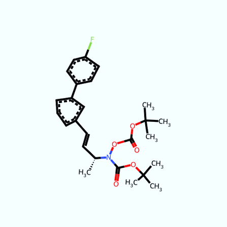 C[C@H](/C=C/c1cccc(-c2ccc(F)cc2)c1)N(OC(=O)OC(C)(C)C)C(=O)OC(C)(C)C